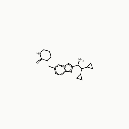 N[C@H](c1cn2nc(C[C@H]3CCCNC3=O)ccc2n1)C(C1CC1)C1CC1